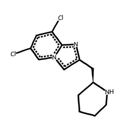 Clc1cc(Cl)c2nc(C[C@@H]3CCCCN3)cn2c1